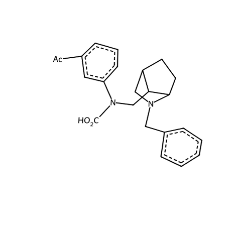 CC(=O)c1cccc(N(CC2C3CCC2N(Cc2ccccc2)C3)C(=O)O)c1